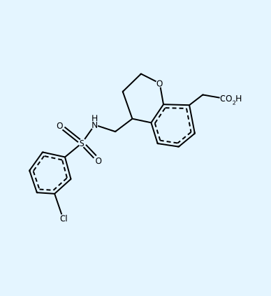 O=C(O)Cc1cccc2c1OCCC2CNS(=O)(=O)c1cccc(Cl)c1